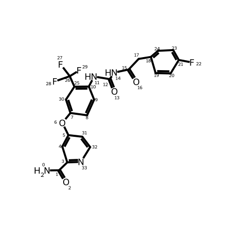 NC(=O)c1cc(Oc2ccc(NC(=O)NC(=O)Cc3ccc(F)cc3)c(C(F)(F)F)c2)ccn1